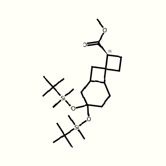 COC(=O)[C@H]1CCC12CC1CC(O[Si](C)(C)C(C)(C)C)(O[Si](C)(C)C(C)(C)C)CCC12